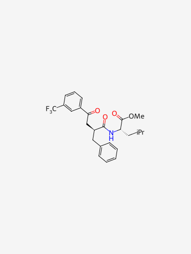 COC(=O)[C@H](CC(C)C)NC(=O)[C@H](CC(=O)c1cccc(C(F)(F)F)c1)Cc1ccccc1